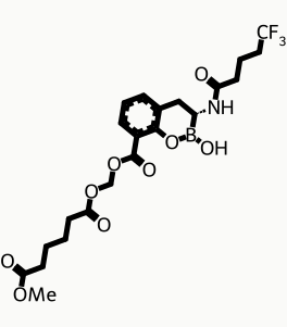 COC(=O)CCCCC(=O)OCOC(=O)c1cccc2c1OB(O)[C@@H](NC(=O)CCCC(F)(F)F)C2